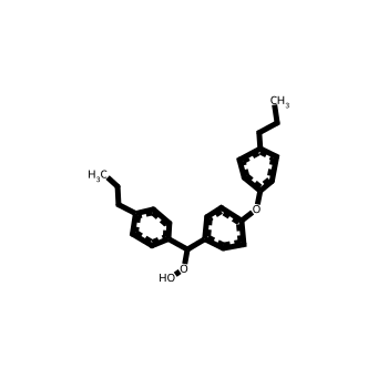 CCCc1ccc(Oc2ccc(C(OO)c3ccc(CCC)cc3)cc2)cc1